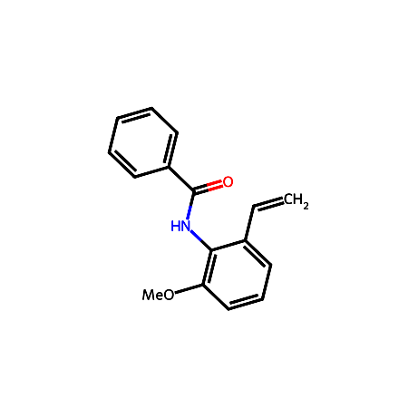 C=Cc1cccc(OC)c1NC(=O)c1ccccc1